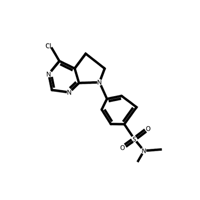 CN(C)S(=O)(=O)c1ccc(N2CCc3c(Cl)ncnc32)cc1